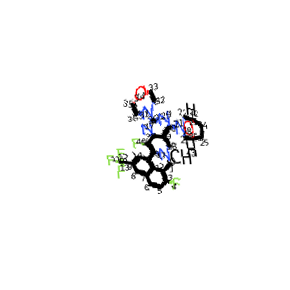 C#Cc1c(F)ccc2cc(C(F)(F)F)cc(-c3ncc4c(N5C[C@H]6CC[C@@H](C5)O6)nc(N5CCOCC5)nc4c3F)c12